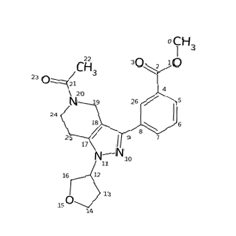 COC(=O)c1cccc(-c2nn(C3CCOC3)c3c2CN(C(C)=O)CC3)c1